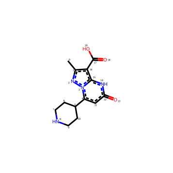 Cc1nn2c(C3CCNCC3)cc(=O)[nH]c2c1C(=O)O